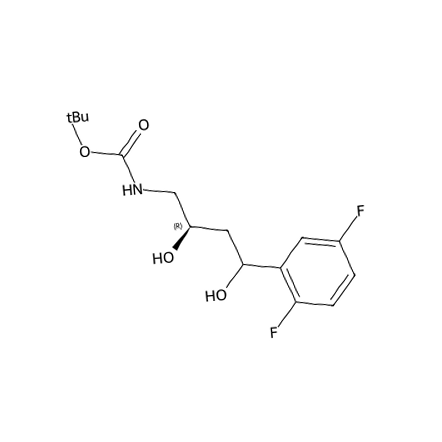 CC(C)(C)OC(=O)NC[C@H](O)CC(O)c1cc(F)ccc1F